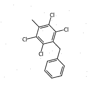 Cc1c(Cl)c(Cl)c(Cc2ccccc2)c(Cl)c1Cl